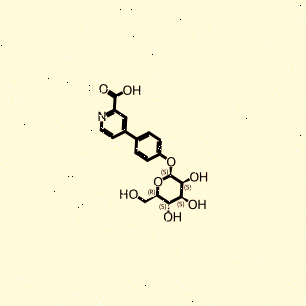 O=C(O)c1cc(-c2ccc(O[C@@H]3O[C@H](CO)[C@@H](O)[C@H](O)[C@@H]3O)cc2)ccn1